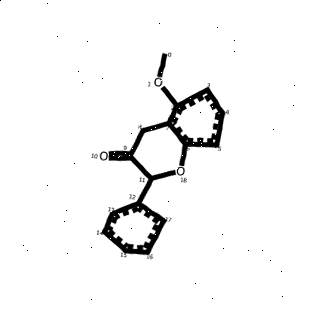 COc1cccc2c1CC(=O)C(c1ccccc1)O2